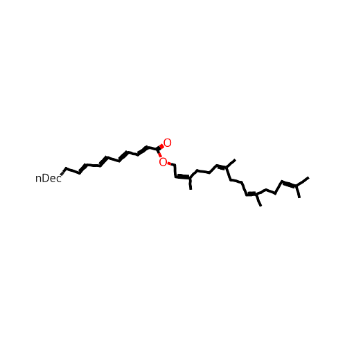 CCCCCCCCCCCC=CC=CC=CC=CC(=O)OCC=C(C)CCC=C(C)CCC=C(C)CCC=C(C)C